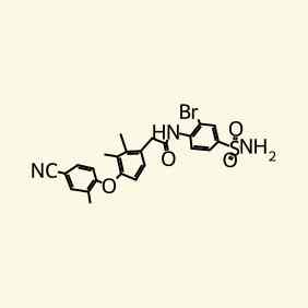 Cc1cc(C#N)ccc1Oc1ccc(CC(=O)Nc2ccc(S(N)(=O)=O)cc2Br)c(C)c1C